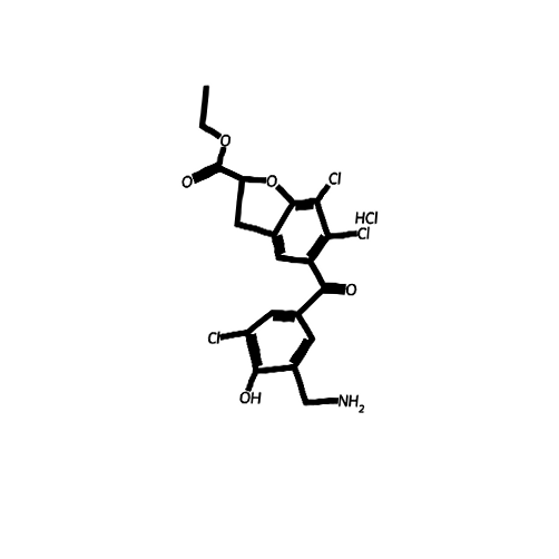 CCOC(=O)C1Cc2cc(C(=O)c3cc(Cl)c(O)c(CN)c3)c(Cl)c(Cl)c2O1.Cl